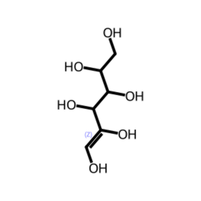 O/C=C(\O)C(O)C(O)C(O)CO